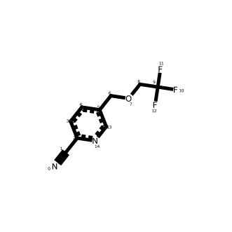 N#Cc1ccc(COCC(F)(F)F)cn1